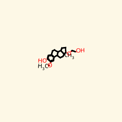 COc1cc2c(cc1O)CCC1C2CC[C@@]2(C)C1CC[C@@H]2OCCO